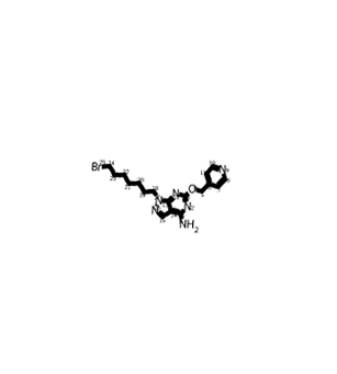 Nc1nc(OCc2ccncc2)nc2c1cnn2CCCCCCCBr